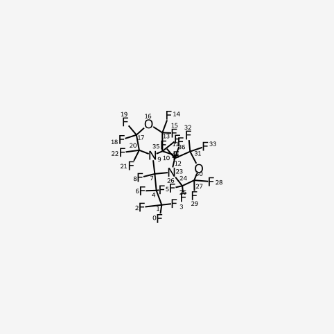 FC(F)(F)C(F)(F)C(F)(N1C(F)(F)C(F)(F)OC(F)(F)C1(F)F)N1C(F)(F)C(F)(F)OC(F)(F)C1(F)F